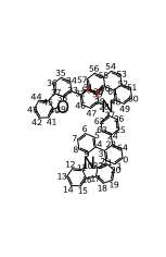 c1ccc(-c2ccccc2-n2c3ccccc3c3ccccc32)c(-c2ccc(N(c3ccc(-c4cccc5c4oc4ccccc45)cc3)c3cccc4ccc5ccccc5c34)cc2)c1